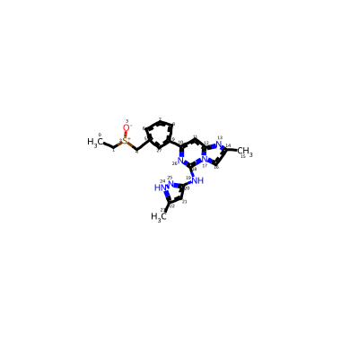 CC[S+]([O-])Cc1cccc(-c2cc3nc(C)cn3c(Nc3cc(C)[nH]n3)n2)c1